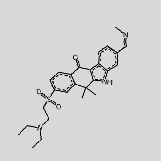 CCN(CC)CCS(=O)(=O)c1ccc2c(c1)C(C)(C)c1[nH]c3cc(/C=N\C)ccc3c1C2=O